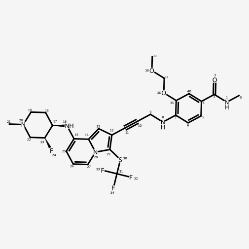 CNC(=O)c1ccc(NCC#Cc2cc3c(N[C@@H]4CCN(C)C[C@@H]4F)cccn3c2SC(F)(F)F)c(OCOC)c1